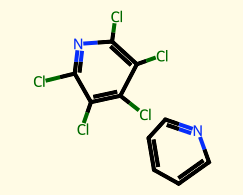 Clc1nc(Cl)c(Cl)c(Cl)c1Cl.c1ccncc1